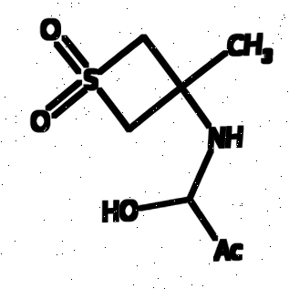 CC(=O)C(O)NC1(C)CS(=O)(=O)C1